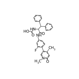 Cc1cc(=O)n(C)cc1-c1ccc(NC(=O)C(NC(=O)O)C(c2ccccc2)c2ccccc2)cc1F